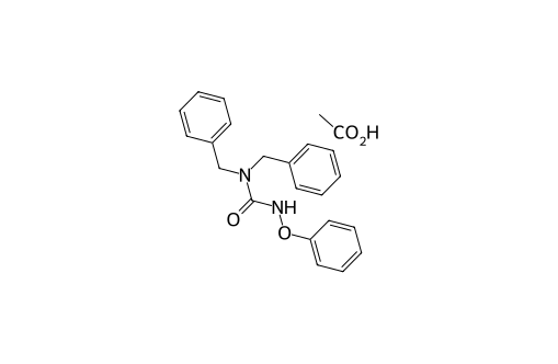 CC(=O)O.O=C(NOc1ccccc1)N(Cc1ccccc1)Cc1ccccc1